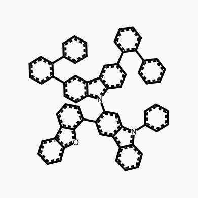 c1ccc(-c2ccccc2-c2ccc3c(c2)c2cc(-c4ccccc4-c4ccccc4)ccc2n3-c2cc3c(cc2-c2cccc4c2oc2ccccc24)c2ccccc2n3-c2ccccc2)cc1